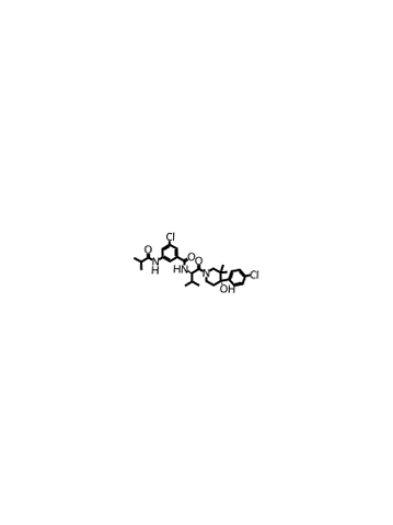 CC(C)C(=O)Nc1cc(Cl)cc(C(=O)N[C@@H](C(=O)N2CC[C@](O)(c3ccc(Cl)cc3)C(C)(C)C2)C(C)C)c1